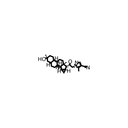 Cc1c(C#N)cnn1CC(=O)[C@H]1[C@H]2C[C@H]2[C@H]2[C@@H]3CC[C@@H]4C[C@](C)(O)CC[C@@H]4[C@H]3CC[C@@]21C